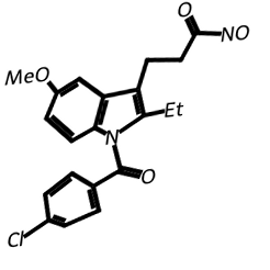 CCc1c(CCC(=O)N=O)c2cc(OC)ccc2n1C(=O)c1ccc(Cl)cc1